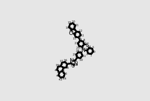 c1ccc2c(c1)Sc1cc(-c3ccc4c(c3)oc3ccccc34)ccc1N2c1ccc(-c2nsc(-c3ccc4ccc5ccccc5c4c3)n2)cc1